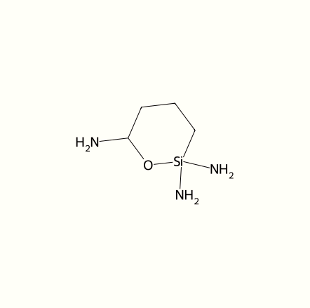 NC1CCC[Si](N)(N)O1